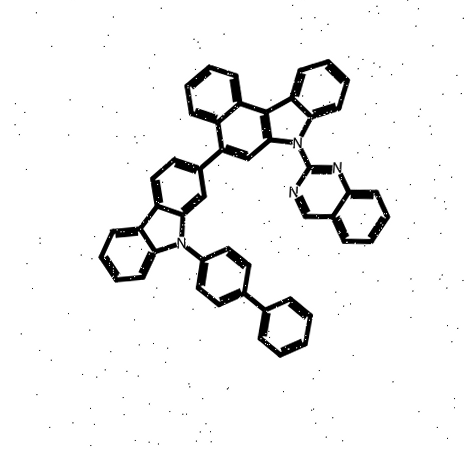 c1ccc(-c2ccc(-n3c4ccccc4c4ccc(-c5cc6c(c7ccccc57)c5ccccc5n6-c5ncc6ccccc6n5)cc43)cc2)cc1